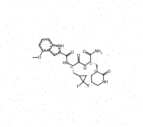 COc1cccc2[nH]c(C(=O)N[C@@H](CC3CC3(F)F)C(=O)N[C@@H](C[C@@H]3CCCNC3=O)C(N)=O)cc12